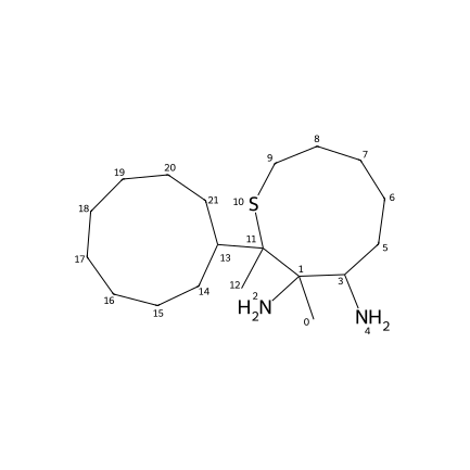 CC1(N)C(N)CCCCCSC1(C)C1CCCCCCCC1